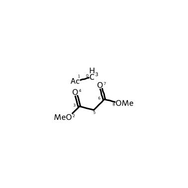 CC(C)=O.COC(=O)CC(=O)OC